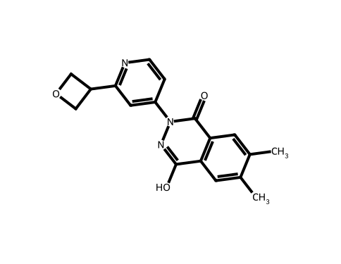 Cc1cc2c(O)nn(-c3ccnc(C4COC4)c3)c(=O)c2cc1C